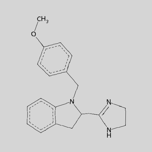 COc1ccc(CN2c3ccccc3CC2C2=NCCN2)cc1